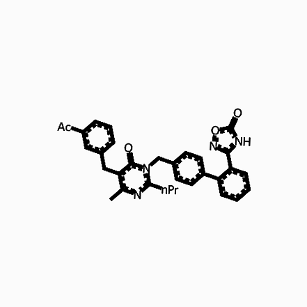 CCCc1nc(C)c(Cc2cccc(C(C)=O)c2)c(=O)n1Cc1ccc(-c2ccccc2-c2noc(=O)[nH]2)cc1